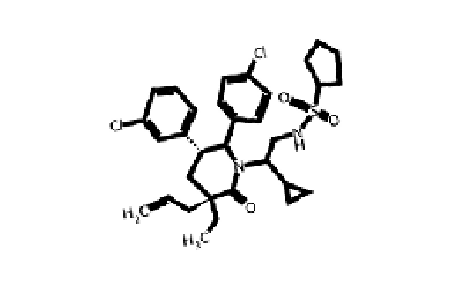 C=CC[C@@]1(CC)C[C@H](c2cccc(Cl)c2)C(c2ccc(Cl)cc2)N(C(CNS(=O)(=O)C2CCCC2)C2CC2)C1=O